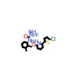 Cc1cccc(N(N)C(=O)NN)c1COc1cccc(-c2ccc(Cl)s2)n1